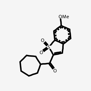 COc1ccc2c(c1)S(=O)(=O)C(C(=O)C1CCCCCC1)=C2